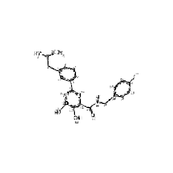 CN(C)Cc1cccc(-c2nc(O)c(O)c(C(=O)NCc3ccc(F)cc3)n2)c1